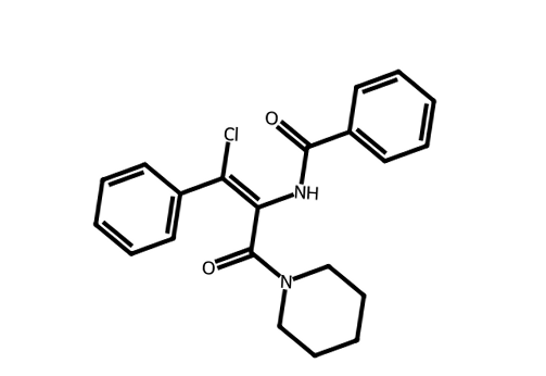 O=C(NC(C(=O)N1CCCCC1)=C(Cl)c1ccccc1)c1ccccc1